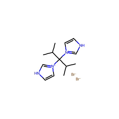 CC(C)C(C(C)C)([n+]1cc[nH]c1)[n+]1cc[nH]c1.[Br-].[Br-]